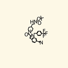 CC(C)(C)OC(=O)NCCC1CCN(C(=O)c2cc3ccc(C#N)cc3n2Cc2ccc(C(F)(F)F)cc2)CC1